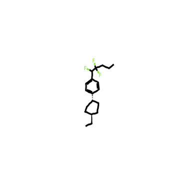 CCCC(F)(F)C(F)c1ccc([C@H]2CC[C@H](CC)CC2)cc1